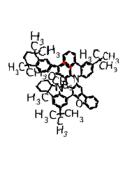 CC(C)(C)c1ccc(N2c3cc4c(oc5ccccc54)c4c3B(c3c2ccc2c3oc3cc5c(cc32)C(C)(C)CCC5(C)C)N2c3c-4cc(C(C)(C)C)cc3C3(C)CCCCC23C)c(-c2ccccc2)c1